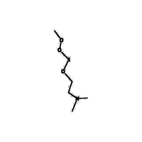 COOSOCCN(C)C